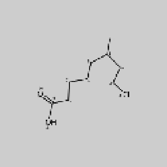 CC(CCCl)CCCCC(=O)O